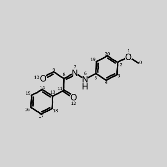 COc1ccc(N/N=C(/C=O)C(=O)c2ccccc2)cc1